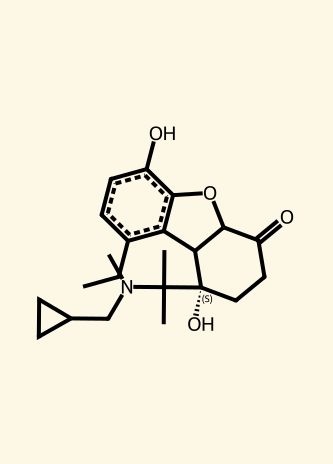 CCc1ccc(O)c2c1C1C(O2)C(=O)CC[C@@]1(O)C(C)(C)N(C)CC1CC1